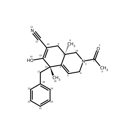 CC(=O)N1CC=C2[C@@](C)(CC(C#N)=C(O)[C@@]2(C)Cc2ccccc2)C1